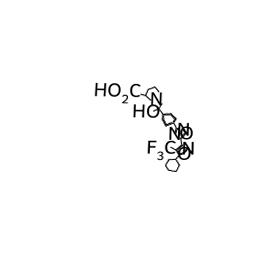 O=C(O)CC1CCCN(CC(O)c2ccc(-c3noc(-c4noc(C5CCCCC5)c4C(F)(F)F)n3)cc2)C1